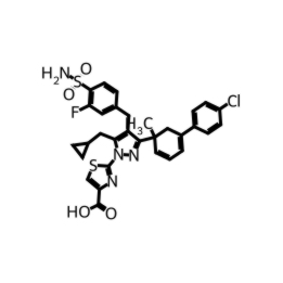 CC1(c2nn(-c3nc(C(=O)O)cs3)c(CC3CC3)c2Cc2ccc(S(N)(=O)=O)c(F)c2)C=CC=C(c2ccc(Cl)cc2)C1